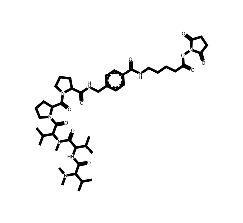 CC(C)C(NC(=O)C(C(C)C)N(C)C)C(=O)N(C)C(C(=O)N1CCCC1C(=O)N1CCCC1C(=O)NCc1ccc(C(=O)NCCCCC(=O)ON2C(=O)CCC2=O)cc1)C(C)C